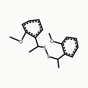 COc1ccccc1C(C)SSC(C)c1ccccc1OC